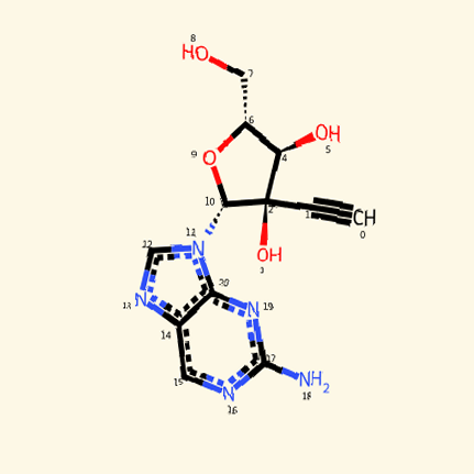 C#C[C@@]1(O)[C@H](O)[C@@H](CO)O[C@H]1n1cnc2cnc(N)nc21